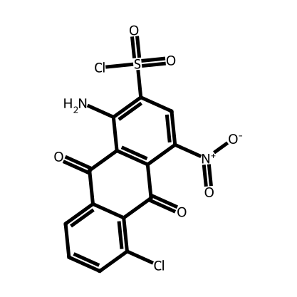 Nc1c(S(=O)(=O)Cl)cc([N+](=O)[O-])c2c1C(=O)c1cccc(Cl)c1C2=O